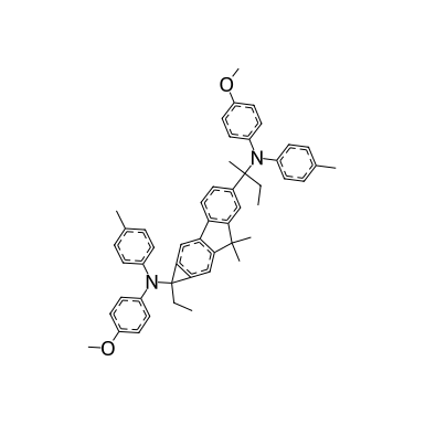 CCC(C)(c1ccc2c(c1)C(C)(C)c1cc3c(cc1-2)C3(CC)N(c1ccc(C)cc1)c1ccc(OC)cc1)N(c1ccc(C)cc1)c1ccc(OC)cc1